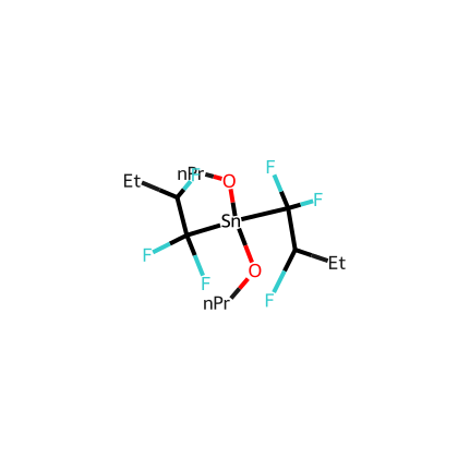 CCC[O][Sn]([O]CCC)([C](F)(F)C(F)CC)[C](F)(F)C(F)CC